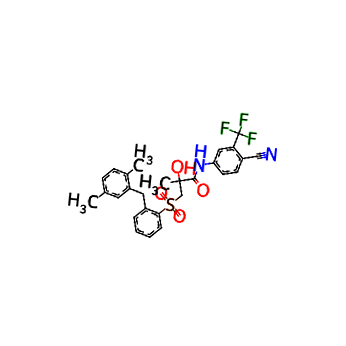 Cc1ccc(C)c(Cc2ccccc2S(=O)(=O)CC(C)(O)C(=O)Nc2ccc(C#N)c(C(F)(F)F)c2)c1